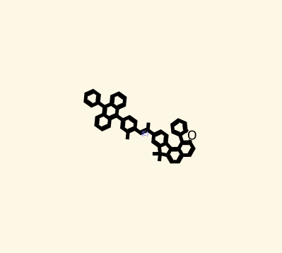 C/C(=C\c1ccc(-c2c3ccccc3c(-c3ccccc3)c3ccccc23)cc1C)c1ccc2c(c1)C(C)(C)c1ccc3ccc4oc5ccccc5c4c3c1-2